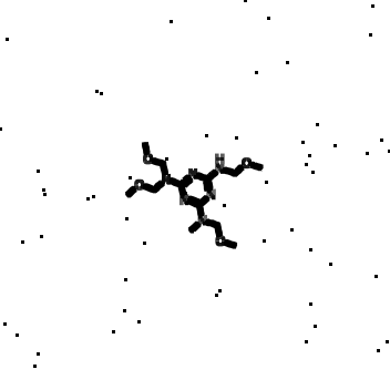 COCNc1nc(N(C)COC)nc(N(COC)COC)n1